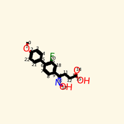 COc1ccc(-c2ccc(/C(CCC(=O)O)=N/O)cc2F)cc1